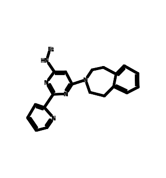 CCNc1cc(N2CCc3ccccc3CC2)nc(-c2ccccn2)n1